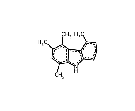 Cc1[c]c(C)c2[nH]c3cccc(C)c3c2c1C